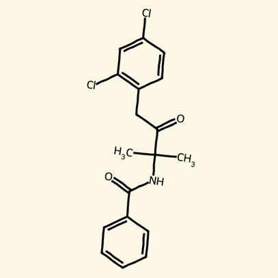 CC(C)(NC(=O)c1ccccc1)C(=O)Cc1ccc(Cl)cc1Cl